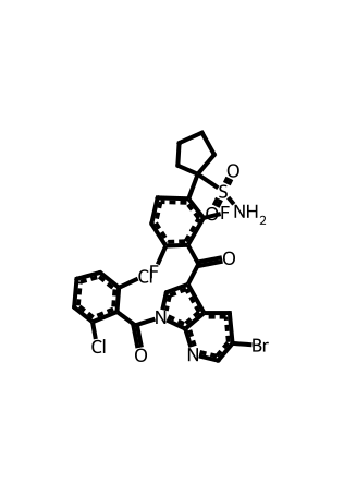 NS(=O)(=O)C1(c2ccc(F)c(C(=O)c3cn(C(=O)c4c(Cl)cccc4Cl)c4ncc(Br)cc34)c2F)CCCC1